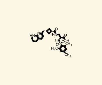 Cc1cc(C)c(S(=O)(=O)NC(CNC(=O)[C@H]2C[C@@H](Cc3ccc4c(n3)NCCC4)C2)C(=O)O)c(C)c1